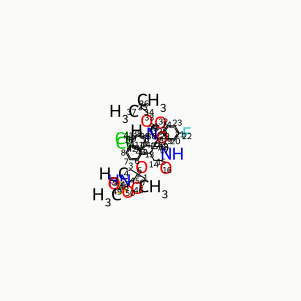 CCC(CC)(Oc1ccc(Cl)cc1C1CC(=O)N[C@@H](c2cc(F)ccc2C)[C@]12C(=O)N(C(=O)OCC(C)C)c1cc(Cl)ccc12)C(=O)NS(C)(=O)=O